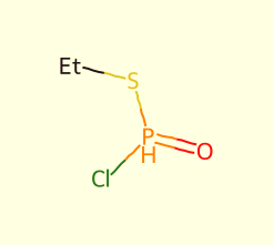 CCS[PH](=O)Cl